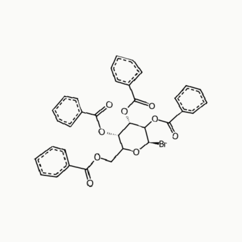 O=C(OCC1O[C@H](Br)C(OC(=O)c2ccccc2)[C@@H](OC(=O)c2ccccc2)[C@H]1OC(=O)c1ccccc1)c1ccccc1